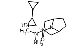 CN(N)N1CC2CCC(C1)N2C(=O)[C@@H]1N[C@H]1C1CC1